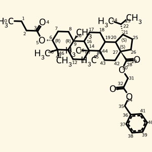 CCCC(=O)O[C@@H]1CC[C@@]2(C)C(CC[C@]3(C)C2CCC2C4[C@H](C(C)C)CC[C@]4(C(=O)OCC(=O)OCc4ccccc4)CC[C@]23C)C1(C)C